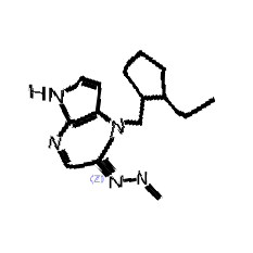 C=N/N=c1/cnc2[nH]ccc2n1CC1CCCC1CC